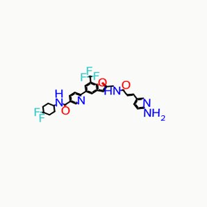 Nc1ccc(/C=C/C(=O)NCc2cc3cc(-c4ccc(C(=O)NC5CCC(F)(F)CC5)cn4)cc(C(F)(F)F)c3o2)cn1